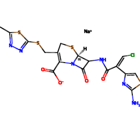 Cc1nnc(SCC2=C(C(=O)[O-])N3C(=O)C(NC(=O)C(=CCl)c4csc(N)n4)[C@@H]3SC2)s1.[Na+]